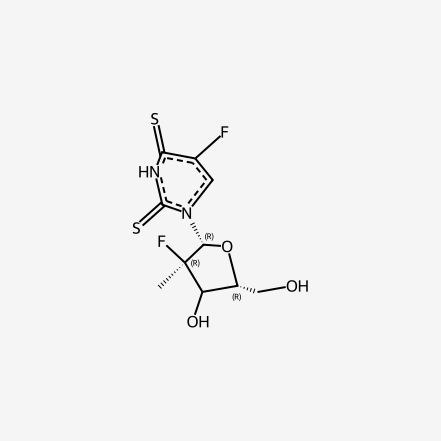 C[C@@]1(F)C(O)[C@@H](CO)O[C@H]1n1cc(F)c(=S)[nH]c1=S